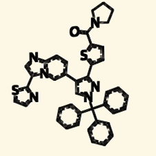 O=C(c1ccc(-c2nn(C(c3ccccc3)(c3ccccc3)c3ccccc3)cc2-c2ccc3ncc(-c4nccs4)n3c2)s1)N1CCCC1